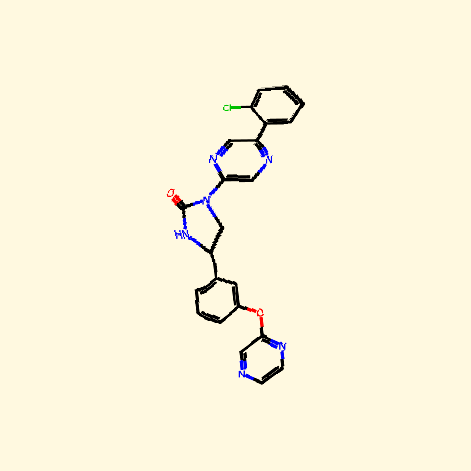 O=C1NC(c2cccc(Oc3cnccn3)c2)CN1c1cnc(-c2ccccc2Cl)cn1